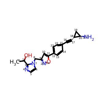 CC(O)c1nccn1Cc1cc(-c2ccc(C#C[C@@H]3C[C@H]3N)cc2)on1